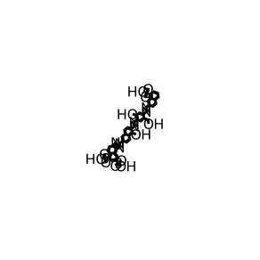 O=S(=O)(O)c1cc(S(=O)(=O)O)c2ccc3nn(-c4ccc5c(O)c(N=Nc6cc(CO)c(N=Nc7ccc8cccc(S(=O)(=O)O)c8c7)cc6O)ccc5c4)nc3c2c1